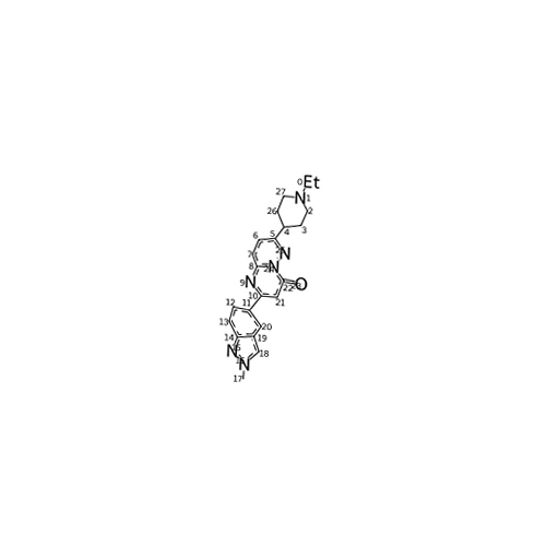 CCN1CCC(c2ccc3nc(-c4ccc5nn(C)cc5c4)cc(=O)n3n2)CC1